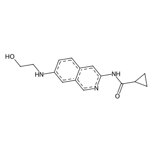 O=C(Nc1cc2ccc(NCCO)cc2cn1)C1CC1